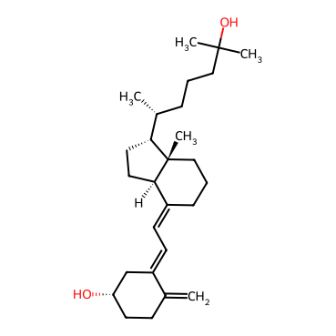 C=C1CC[C@H](O)CC1=CC=C1CCC[C@]2(C)[C@@H]1CC[C@@H]2[C@H](C)CCCC(C)(C)O